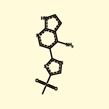 CS(=O)(=O)c1cnc(-c2cnc3[nH]ccc3c2N)s1